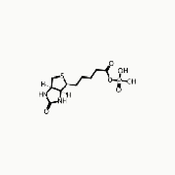 O=C1N[C@H]2[C@H](CS[C@H]2CCCCC(=O)OP(=O)(O)O)N1